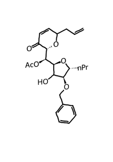 [CH2][CH]C[C@H]1O[C@H]([C@@H](OC(C)=O)[C@H]2OC(CC=C)C=CC2=O)C(O)[C@@H]1OCc1ccccc1